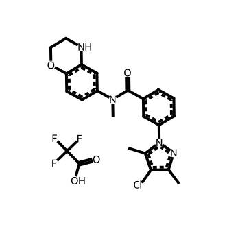 Cc1nn(-c2cccc(C(=O)N(C)c3ccc4c(c3)NCCO4)c2)c(C)c1Cl.O=C(O)C(F)(F)F